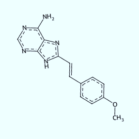 COc1ccc(C=Cc2nc3c(N)ncnc3[nH]2)cc1